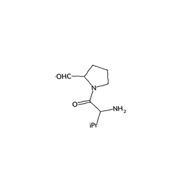 CC(C)C(N)C(=O)N1CCCC1[C]=O